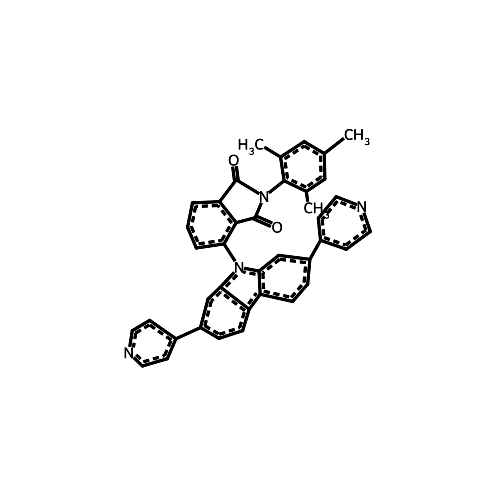 Cc1cc(C)c(N2C(=O)c3cccc(-n4c5cc(-c6ccncc6)ccc5c5ccc(-c6ccncc6)cc54)c3C2=O)c(C)c1